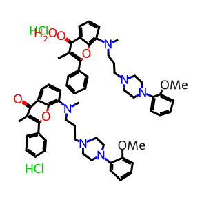 COc1ccccc1N1CCN(CCCN(C)c2cccc3c(=O)c(C)c(-c4ccccc4)oc23)CC1.COc1ccccc1N1CCN(CCCN(C)c2cccc3c(=O)c(C)c(-c4ccccc4)oc23)CC1.Cl.Cl.O